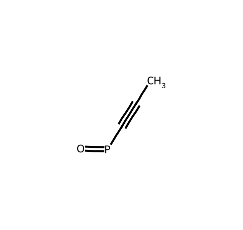 CC#CP=O